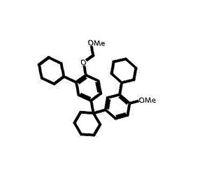 COCOc1ccc(C2(c3ccc(OC)c(C4CCCCC4)c3)CCCCC2)cc1C1CCCCC1